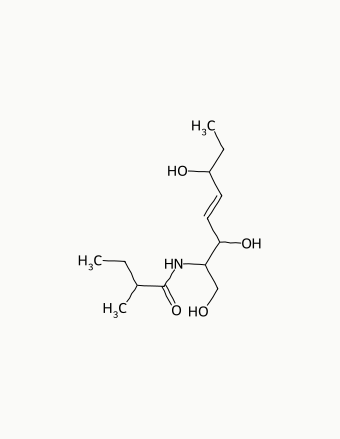 CCC(O)C=CC(O)C(CO)NC(=O)C(C)CC